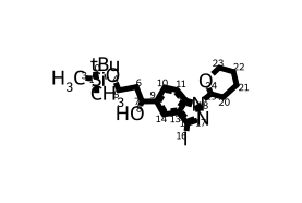 CC(C)(C)[Si](C)(C)OCCC(O)c1ccc2c(c1)c(I)nn2C1CCCCO1